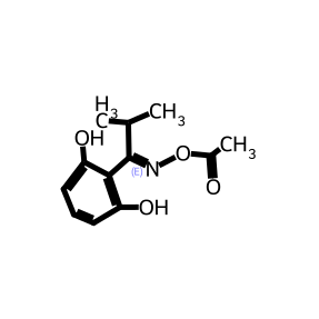 CC(=O)O/N=C(/c1c(O)cccc1O)C(C)C